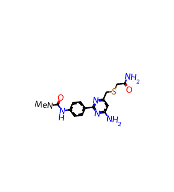 CNC(=O)Nc1ccc(-c2nc(N)cc(CSCC(N)=O)n2)cc1